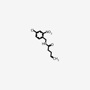 C=CC[CH]C(=O)NCc1ccc(Cl)cc1[N+](=O)[O-]